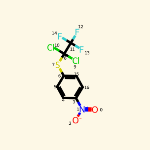 O=[N+]([O-])c1ccc(SC(Cl)(Cl)C(F)(F)F)cc1